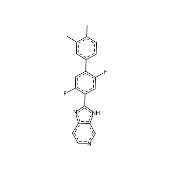 Cc1ccc(-c2cc(F)c(-c3nc4ccncc4[nH]3)cc2F)cc1C